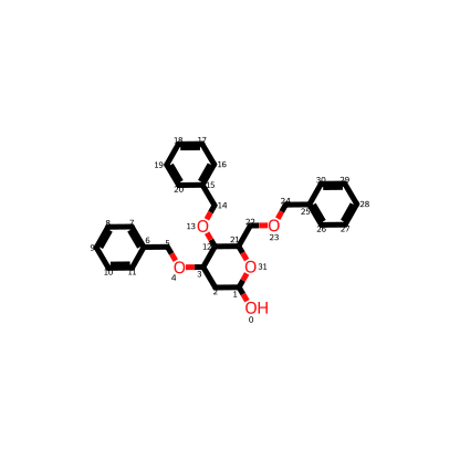 OC1CC(OCc2ccccc2)C(OCc2ccccc2)C(COCc2ccccc2)O1